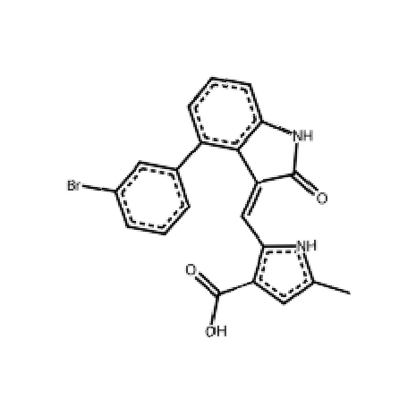 Cc1cc(C(=O)O)c(C=C2C(=O)Nc3cccc(-c4cccc(Br)c4)c32)[nH]1